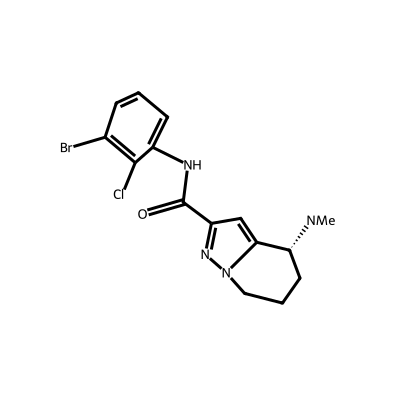 CN[C@@H]1CCCn2nc(C(=O)Nc3cccc(Br)c3Cl)cc21